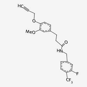 C#CCOc1ccc(CCC(=O)NCc2ccc(C(F)(F)F)c(F)c2)cc1OC